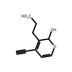 C#CC1=C(CCC(=O)O)C(O)OC=C1